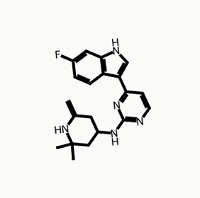 C=C1CC(Nc2nccc(-c3c[nH]c4cc(F)ccc34)n2)CC(C)(C)N1